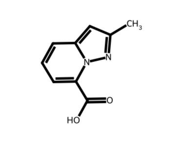 Cc1cc2cccc(C(=O)O)n2n1